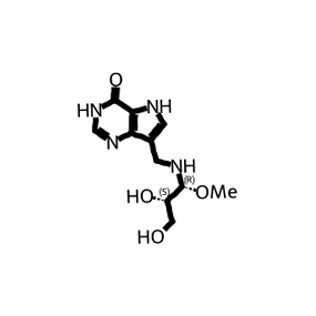 CO[C@@H](NCc1c[nH]c2c(=O)[nH]cnc12)[C@@H](O)CO